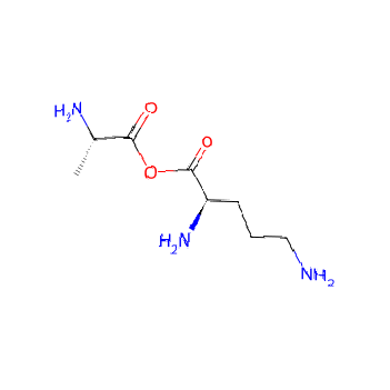 C[C@H](N)C(=O)OC(=O)[C@H](N)CCCN